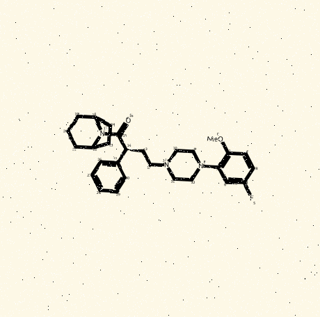 COc1ccc(F)cc1N1CCN(CC[C@H](C(=O)N2C3CCCC2CC3)c2ccccc2)CC1